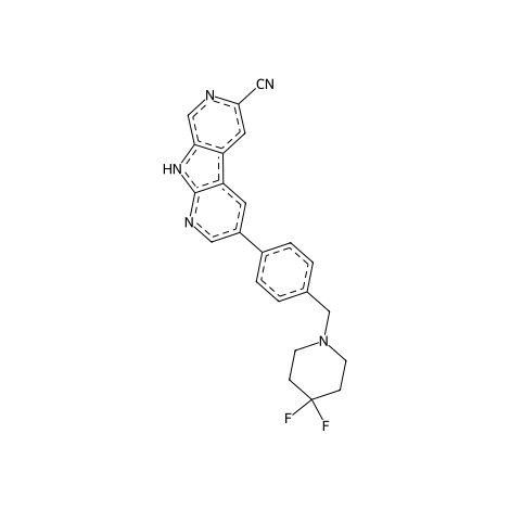 N#Cc1cc2c(cn1)[nH]c1ncc(-c3ccc(CN4CCC(F)(F)CC4)cc3)cc12